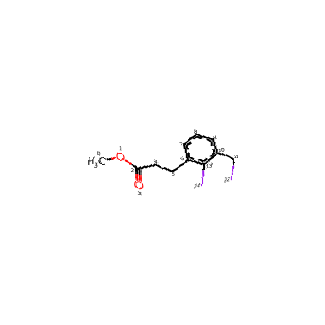 COC(=O)CCc1cccc(CI)c1I